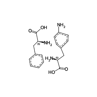 N[C@@H](Cc1ccccc1)C(=O)O.Nc1ccc(C[C@H](N)C(=O)O)cc1